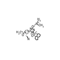 C=CC(=O)N1CCN(c2nc(OCCN(CC)CC)nc3c2COC(c2cccc4cccc(C)c24)C3)C[C@@H]1CC#N